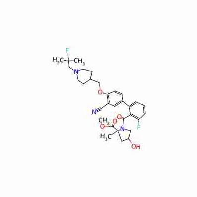 COC(=O)C1(C)CC(O)CN1C(=O)c1c(F)cccc1-c1ccc(OCC2CCN(CC(C)(C)F)CC2)c(C#N)c1